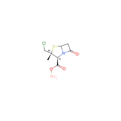 BOC(=O)[C@@H]1N2C(=O)CC2S[C@@]1(C)CCl